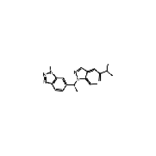 C=C(/C=c1/cnn([C@@H](C)c2ccc3nn[nH]c3c2)/c1=C/C)C(C)C